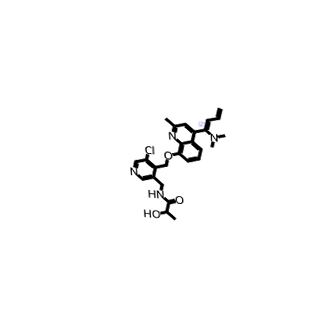 C=C/C=C(/c1cc(C)nc2c(OCc3c(Cl)cncc3CNC(=O)C(C)O)cccc12)N(C)C